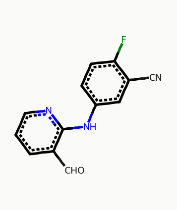 N#Cc1cc(Nc2ncccc2C=O)ccc1F